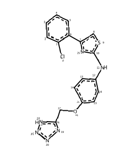 Clc1ccccc1-c1csc(Nc2ccc(OCc3nnn[nH]3)cc2)n1